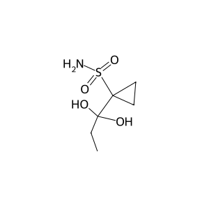 CCC(O)(O)C1(S(N)(=O)=O)CC1